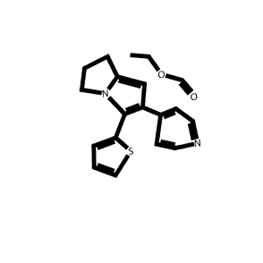 CCOC=O.c1csc(-c2c(-c3ccncc3)cc3n2CCC3)c1